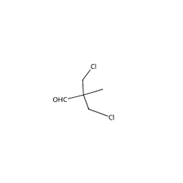 CC(C=O)(CCl)CCl